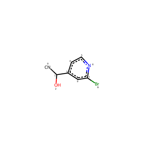 [C-]#[N+]C(O)c1ccnc(Br)c1